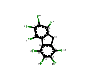 Fc1c(F)c(F)c2c(c1F)[CH]c1c(F)c(F)c(F)c(F)c1-2